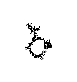 CNC(=O)C[C@@H]1NC(=O)c2csc(n2)-c2ccc(-c3nc(N(C(=O)C4CCC(C(=O)O)CC4)c4cnc(C(=O)O)[nH]4)cs3)nc2-c2csc(n2)-c2csc(n2)[C@H]([C@@H](O)c2ccccc2)NC(=O)CNC(=O)c2nc(sc2COC)C(C(C)C)NC(=O)c2nc1sc2C